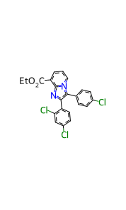 CCOC(=O)c1cccn2c(-c3ccc(Cl)cc3)c(-c3ccc(Cl)cc3Cl)nc12